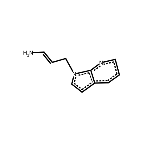 N/C=C/Cn1ccc2cccnc21